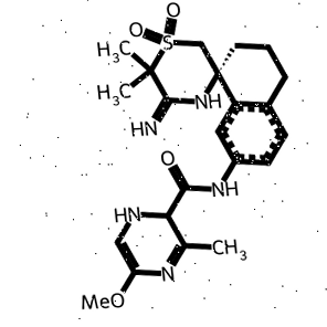 COC1=CNC(C(=O)Nc2ccc3c(c2)[C@]2(CCC3)CS(=O)(=O)C(C)(C)C(=N)N2)C(C)=N1